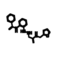 C=C(CNNc1ccccc1NC(=C)c1ccccc1)NCc1ccco1